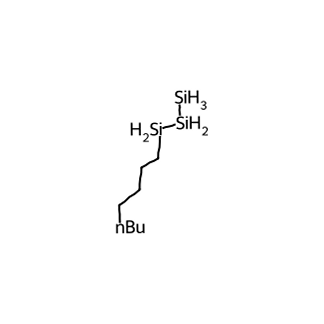 CCCCCCCC[SiH2][SiH2][SiH3]